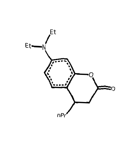 [CH2]CCC1CC(=O)Oc2cc(N(CC)CC)ccc21